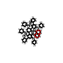 c1ccc(N2B3Oc4ccccc4-c4cc(N(c5ccccc5)c5ccccc5)c5c(c43)-c3c2cc2c4c3B(N5c3ccccc3)N(c3ccccc3)c3c(N(c5ccccc5)c5ccccc5)cc5c(c3-4)B(Oc3ccccc3-5)N2c2ccccc2)cc1